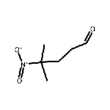 CC(C)(CCC=O)[N+](=O)[O-]